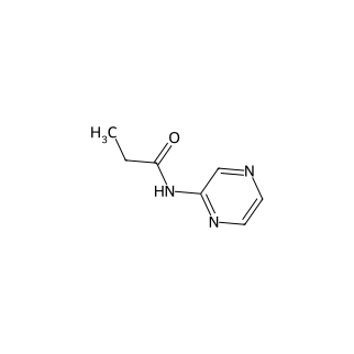 CCC(=O)Nc1cnccn1